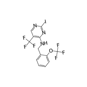 FC(F)(F)Oc1ccccc1CNc1nc(I)ncc1C(F)(F)F